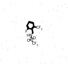 O=S(=O)(NCc1c(F)cccc1C(F)(F)F)C(F)(F)F